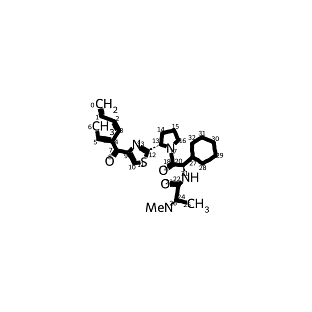 C=C/C=C\C(=C/C)C(=O)c1csc([C@@H]2CCCN2C(=O)[C@@H](NC(=O)[C@H](C)NC)C2CCCCC2)n1